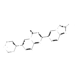 Cc1cn2cc(-c3cc(=O)n4cc(C5=CCNCC5)ccc4n3)ccc2n1